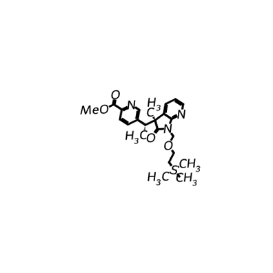 COC(=O)c1ccc([C@@H](C)[C@@]2(C)C(=O)N(COCCS(C)(C)C)c3ncccc32)cn1